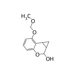 COCOc1cccc2c1C1CC1C(O)O2